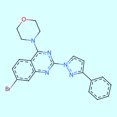 Brc1ccc2c(N3CCOCC3)nc(-n3ccc(-c4ccccc4)n3)nc2c1